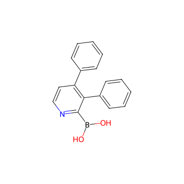 OB(O)c1nccc(-c2ccccc2)c1-c1ccccc1